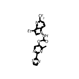 CCc1cn(NC(=O)Oc2cnc(-c3nccs3)nc2C)c2ccc(C(F)(F)F)nc12